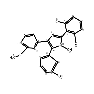 CSc1nccc(-c2nc(-c3c(Cl)cccc3Cl)n(O)c2-c2cccc(O)c2)n1